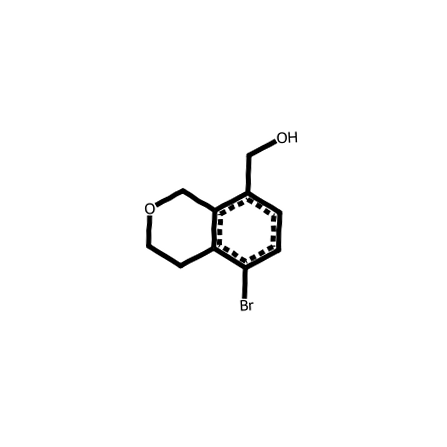 OCc1ccc(Br)c2c1COCC2